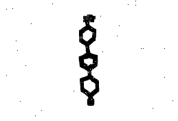 CCCC1CCC(c2ccc(C3CCC(=O)CC3)cc2)CC1